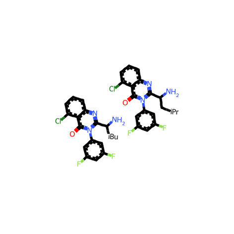 CC(C)CC(N)c1nc2cccc(Cl)c2c(=O)n1-c1cc(F)cc(F)c1.CCC(C)C(N)c1nc2cccc(Cl)c2c(=O)n1-c1cc(F)cc(F)c1